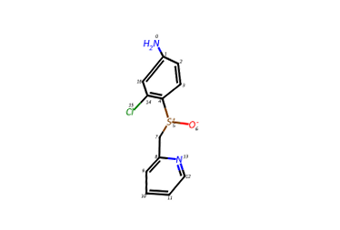 Nc1ccc([S+]([O-])Cc2ccccn2)c(Cl)c1